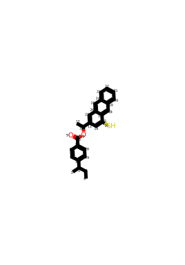 CCC(C)c1ccc(C(=O)OC(C)c2cc(S)c3cc4ccccc4cc3c2)cc1